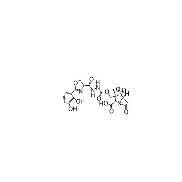 C[C@H]1OC(c2cccc(O)c2O)=N[C@@H]1C(=O)NNC(=O)OC[C@@]1(C)[C@H](C(=O)O)N2C(=O)C[C@H]2S1(=O)=O